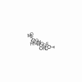 CN(C)C(=O)C(C)(C)c1ccc(Nc2cc(-c3cccc(-n4ccc5cc(C6CC6)cc(F)c5c4=O)c3CO)cn(C)c2=O)nc1